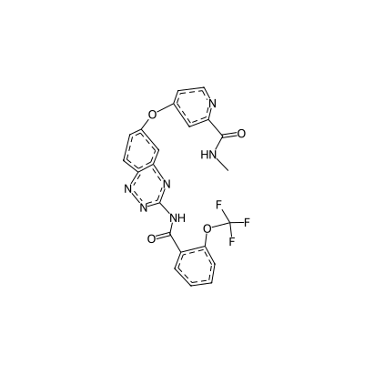 CNC(=O)c1cc(Oc2ccc3nnc(NC(=O)c4ccccc4OC(F)(F)F)nc3c2)ccn1